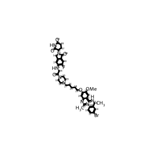 COc1cc2c(N[C@H](C)c3cccc(Br)c3)nc(C)nc2cc1OCCCCCN1CCN(C(=O)CNc2cc3c(cc2F)C(=O)N(C2CCC(=O)NC2=O)C3)CC1